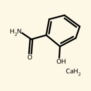 NC(=O)c1ccccc1O.[CaH2]